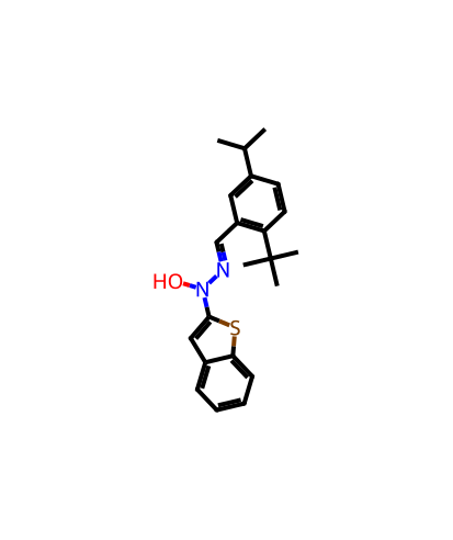 CC(C)c1ccc(C(C)(C)C)c(/C=N/N(O)c2cc3ccccc3s2)c1